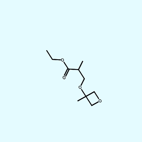 CCOC(=O)C(C)COC1(C)COC1